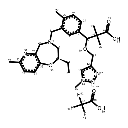 CC[C@@H]1CN(Cc2cc(C(OCc3cn(C)nn3)C(C)(C)C(=O)O)ccc2C)Cc2nc(C)ccc2O1.O=C(O)C(F)(F)F